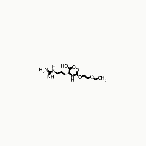 CCOCCOC(=O)N[C@H](CCCNC(=N)N)C(=O)O